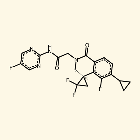 O=C(CN1C[C@@]2(CC2(F)F)c2c(ccc(C3CC3)c2F)C1=O)Nc1ncc(F)cn1